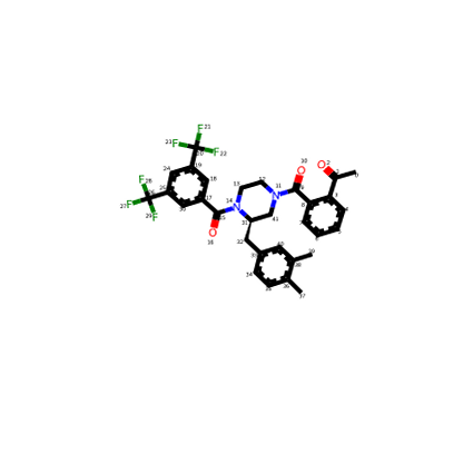 CC(=O)c1ccccc1C(=O)N1CCN(C(=O)c2cc(C(F)(F)F)cc(C(F)(F)F)c2)[C@H](Cc2ccc(C)c(C)c2)C1